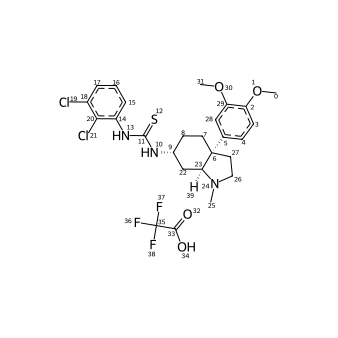 COc1ccc([C@@]23CC[C@@H](NC(=S)Nc4cccc(Cl)c4Cl)C[C@@H]2N(C)CC3)cc1OC.O=C(O)C(F)(F)F